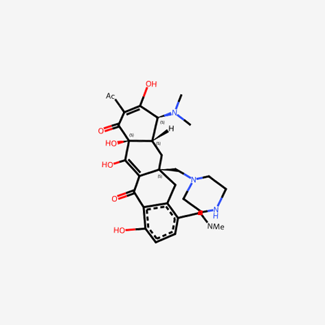 CNCc1ccc(O)c2c1C[C@@]1(CN3CCNCC3)C[C@H]3[C@H](N(C)C)C(O)=C(C(C)=O)C(=O)[C@@]3(O)C(O)=C1C2=O